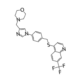 FC(F)(F)c1ccc2c(SCc3ccc(-n4cnc(CN5CCOCC5)c4)cc3)ccnc2c1